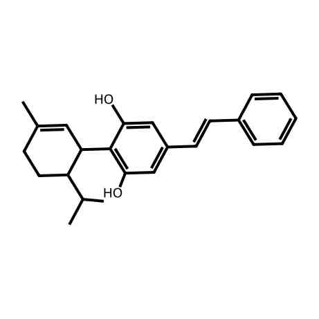 CC1=CC(c2c(O)cc(/C=C/c3ccccc3)cc2O)C(C(C)C)CC1